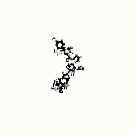 CC1(c2ccc(Cl)cc2)CN(C(=O)[C@@H]2CCCN2C(=O)[C@@H](NC(=O)c2cc3cc(C(F)(F)P(=O)(O)O)ccc3s2)C(C)(C)C)CCO1